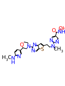 CNc1ccc(C2CN(c3ncc4sc(CCN(C)c5ncc(C(=O)NO)cn5)cc4n3)CCO2)cn1